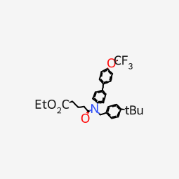 CCOC(=O)CCCC(=O)N(Cc1ccc(C(C)(C)C)cc1)c1ccc(-c2ccc(OC(F)(F)F)cc2)cc1